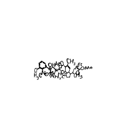 CCN(CC(C)C1CCC(C)C2(O)C1C=C(C)C(OC(C)=O)C2OC(=O)[C@@H]1C[C@@]2(O)c3cccc(Cl)c3N(C)O[C@H]2N1)C(=O)OC